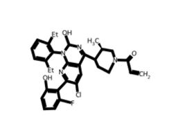 C=CC(=O)N1CCC(C2=NC(O)N(c3c(CC)cccc3CC)c3nc(-c4c(O)cccc4F)c(Cl)cc32)[C@@H](C)C1